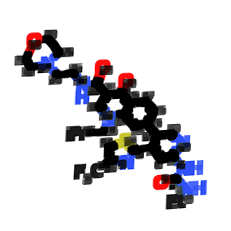 CCNC(=O)Nc1cc(-c2nc(C(F)(F)F)cs2)c(-c2ccc3c(=O)c(C(=O)NCCN4CCOCC4)cn(CC(C)C)c3c2)cn1